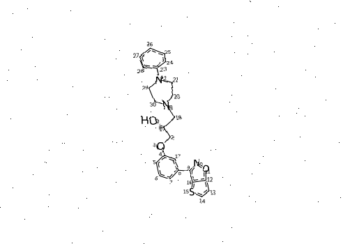 O[C@@H](COc1cccc(-c2noc3ccsc23)c1)CN1CCN(c2ccccc2)CC1